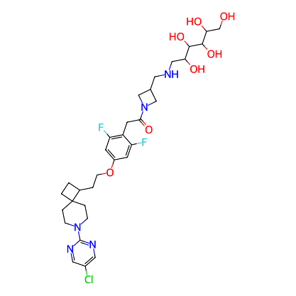 O=C(Cc1c(F)cc(OCCC2CCC23CCN(c2ncc(Cl)cn2)CC3)cc1F)N1CC(CNCC(O)C(O)C(O)C(O)CO)C1